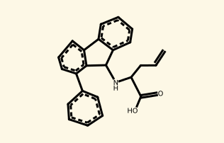 C=CCC(NC1c2ccccc2-c2cccc(-c3ccccc3)c21)C(=O)O